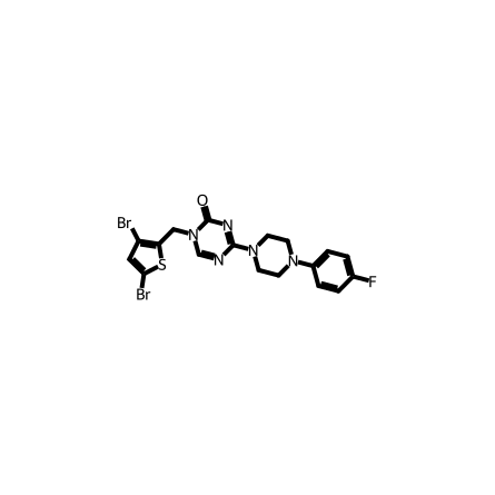 O=c1nc(N2CCN(c3ccc(F)cc3)CC2)ncn1Cc1sc(Br)cc1Br